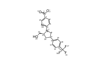 O=[N+]([O-])c1ccc(N2CC(c3ccc(C(F)(F)F)cc3)C[C@H]2CO)nc1